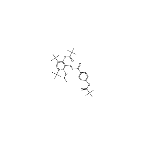 CCOc1c(C(C)(C)C)cc(C(C)(C)C)c(OC(=O)C(C)(C)C)c1C=CC(=O)c1ccc(OC(=O)C(C)(C)C)cc1